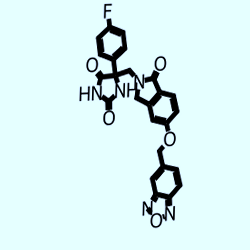 O=C1NC(=O)C(CN2Cc3cc(OCc4ccc5nonc5c4)ccc3C2=O)(c2ccc(F)cc2)N1